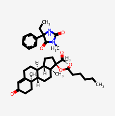 CCC1(c2ccccc2)NC(=O)N(C)C1=O.CCCCCC(=O)O[C@]1(C(C)=O)CC[C@H]2[C@@H]3CCC4=CC(=O)CC[C@]4(C)[C@H]3CC[C@@]21C